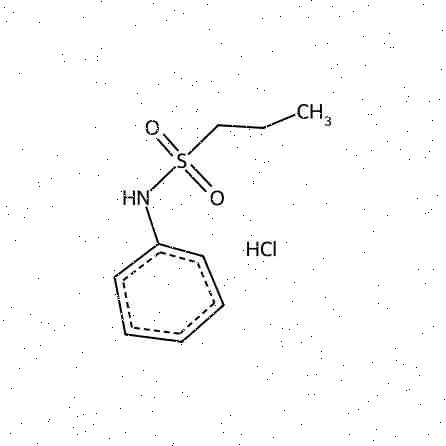 CCCS(=O)(=O)Nc1ccccc1.Cl